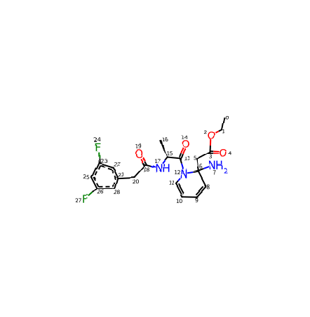 CCOC(=O)CC1(N)C=CC=CN1C(=O)[C@H](C)NC(=O)Cc1cc(F)cc(F)c1